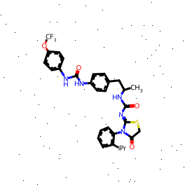 CC(Cc1ccc(NC(=O)Nc2ccc(OC(F)(F)F)cc2)cc1)NC(=O)/N=C1\SCC(=O)N1c1ccccc1C(C)C